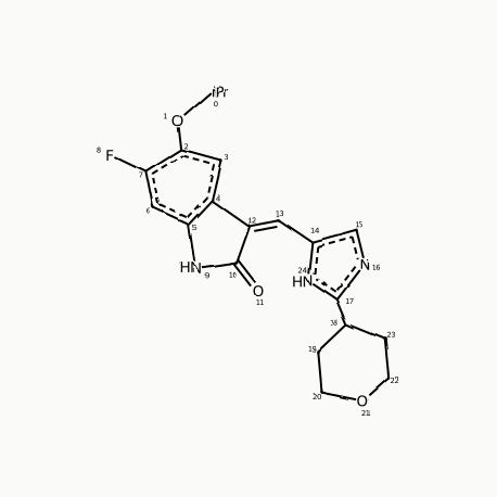 CC(C)Oc1cc2c(cc1F)NC(=O)/C2=C\c1cnc(C2CCOCC2)[nH]1